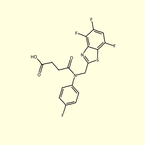 O=C(O)CCC(=O)N(Cc1nc2c(F)c(F)cc(F)c2s1)c1ccc(F)cc1